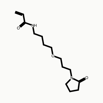 C=CC(=O)NCCCCOCCCN1CCCC1=O